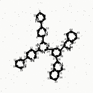 c1ccc(-c2ccc(-c3nc(-c4ccc(-c5ccccn5)nc4)nc(-c4cc(-c5cc6ccccc6cn5)cc(-c5cc6ccccc6cn5)c4)n3)nc2)nc1